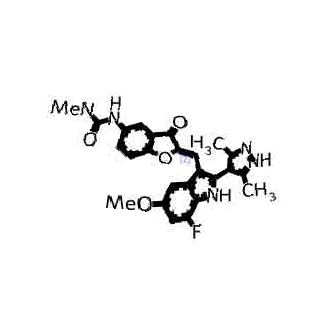 CNC(=O)Nc1ccc2c(c1)C(=O)/C(=C/c1c(-c3c(C)n[nH]c3C)[nH]c3c(F)cc(OC)cc13)O2